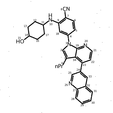 CCCc1cn(-c2ccc(C#N)c(NC3CCC(O)CC3)c2)c2nccc(-c3cnc4ccccc4c3)c12